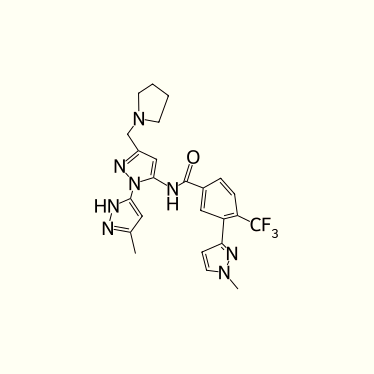 Cc1cc(-n2nc(CN3CCCC3)cc2NC(=O)c2ccc(C(F)(F)F)c(-c3ccn(C)n3)c2)[nH]n1